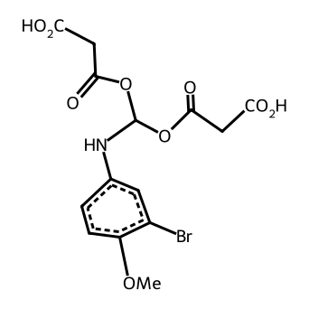 COc1ccc(NC(OC(=O)CC(=O)O)OC(=O)CC(=O)O)cc1Br